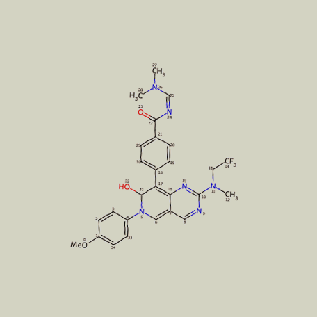 COc1ccc(N2C=c3cnc(N(C)CC(F)(F)F)nc3=C(c3ccc(C(=O)/N=C\N(C)C)cc3)C2O)cc1